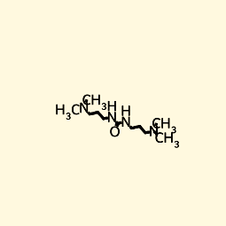 CN(C)CCCNC(=O)NCCCN(C)C